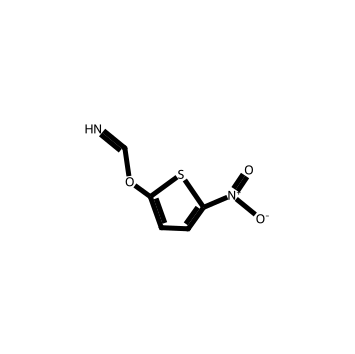 N=COc1ccc([N+](=O)[O-])s1